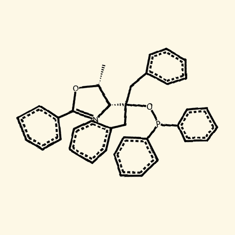 C[C@H]1OC(c2ccccc2)=N[C@H]1C(Cc1ccccc1)(Cc1ccccc1)OP(c1ccccc1)c1ccccc1